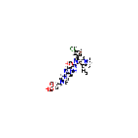 C[C@@H]1CCCN1Cc1sc(NC(O)c2cnc(N3CCN(CCCC(=O)O)CC3)cn2)nc1-c1cc(Cl)cs1